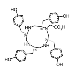 O=C(O)CN1C[C@H](Cc2ccc(O)cc2)NC[C@H](Cc2ccc(O)cc2)NC[C@H](Cc2ccc(O)cc2)NC[C@@H]1Cc1ccc(O)cc1